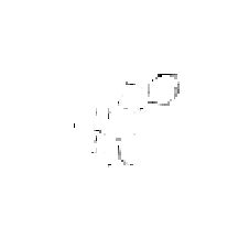 CC(C)(C)N(C[C@H]1c2ccccc2C[C@H]1N)C(=O)O